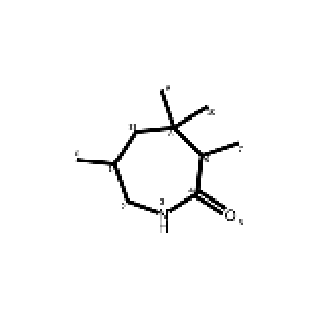 CC1CNC(=O)C(C)C(C)(C)C1